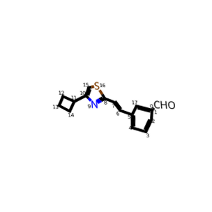 O=Cc1cccc(C=Cc2nc(C3CCC3)cs2)c1